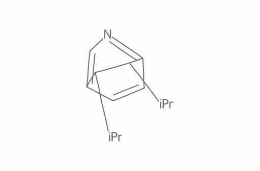 CC(C)C1c2ccc(nc2)C1C(C)C